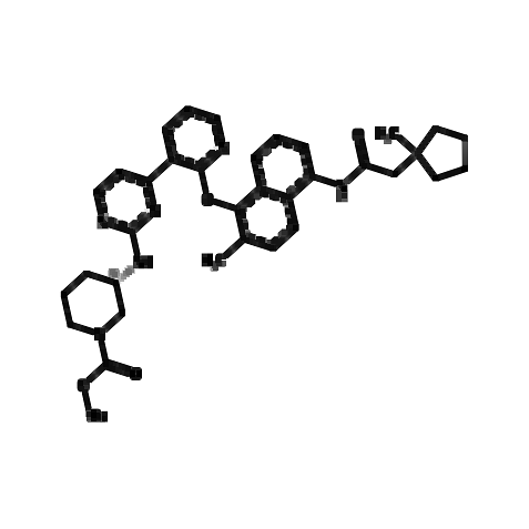 Cc1ccc2c(NC(=O)CC3(C)CCCC3)cccc2c1Oc1ncccc1-c1ccnc(N[C@H]2CCCN(C(=O)OC(C)(C)C)C2)n1